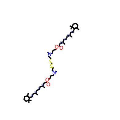 CC1=C(/C=C/C(C)=C/C=C/C(C)=C/C(=O)OCCCN(C)CCSCSCCN(C)CCCOC(=O)/C=C(C)/C=C/C=C(C)/C=C/C2=C(C)CCCC2(C)C)C(C)(C)CCC1